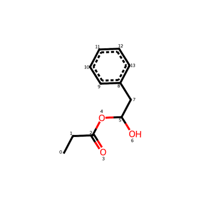 CCC(=O)OC(O)Cc1ccccc1